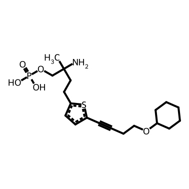 CC(N)(CCc1ccc(C#CCCOC2CCCCC2)s1)COP(=O)(O)O